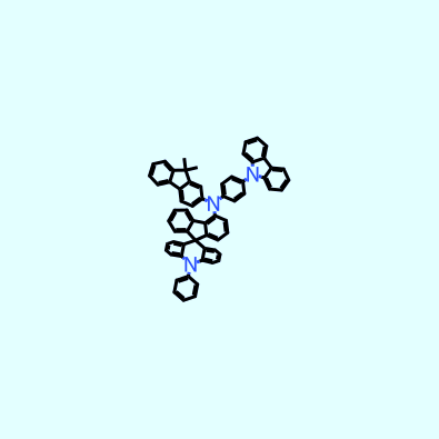 CC1(C)c2ccccc2-c2ccc(N(c3ccc(-n4c5ccccc5c5ccccc54)cc3)c3cccc4c3-c3ccccc3C43c4ccccc4N(c4ccccc4)c4ccccc43)cc21